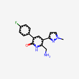 Cn1ccc(-c2cc(-c3ccc(F)cc3)c(=O)[nH]c2CN)n1